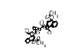 CC(=O)Oc1cc2c(c3ccccc13)C(CCl)CN2C(=O)C12C3C4C1C1C2C3C41C(=O)N1CC(CCl)c2c1cc(OC(C)=O)c1ccccc21